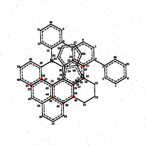 c1ccc(-c2ccc(-c3ccccc3N(c3ccccc3-c3cccc4cccc(C5CCCCC5)c34)c3ccccc3-c3cccc4oc5ccccc5c34)cc2)cc1